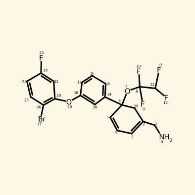 NCC1=CC=CC(OC(F)(F)C(F)F)(c2cccc(Oc3cc(F)ccc3Br)c2)C1